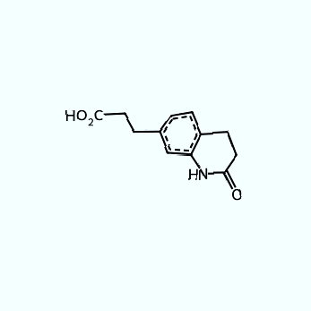 O=C(O)CCc1ccc2c(c1)NC(=O)CC2